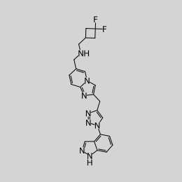 FC1(F)CC(CNCc2ccc3nc(Cc4cn(-c5cccc6[nH]ncc56)nn4)cn3c2)C1